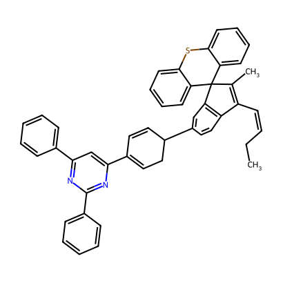 CC/C=C\C1=C(C)C2(c3ccccc3Sc3ccccc32)c2cc(C3C=CC(c4cc(-c5ccccc5)nc(-c5ccccc5)n4)=CC3)ccc21